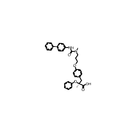 CN(CCCOc1ccc(C[C@](C)(Oc2ccccc2)C(=O)O)cc1)C(=O)Nc1ccc(-c2ccccc2)cc1